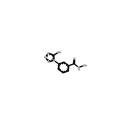 O=C(NO)c1cccc(-n2nnnc2S)c1